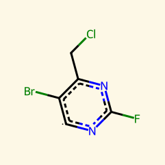 Fc1n[c]c(Br)c(CCl)n1